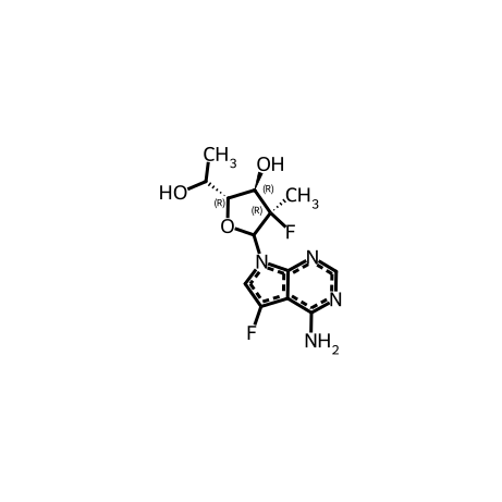 CC(O)[C@H]1OC(n2cc(F)c3c(N)ncnc32)[C@](C)(F)[C@@H]1O